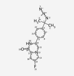 CC(C)(N=[N+]=[N-])c1ccc(-c2cn3cc(F)cc3c(=O)[nH]2)cc1